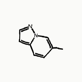 Cc1ccc2ccnn2c1